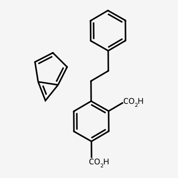 O=C(O)c1ccc(CCc2ccccc2)c(C(=O)O)c1.c1cc2cc-2c1